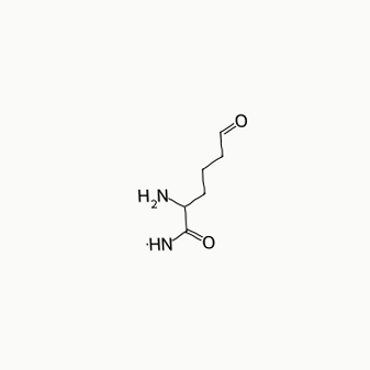 [NH]C(=O)C(N)CCCC=O